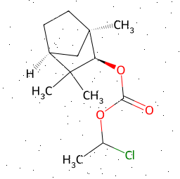 CC(Cl)OC(=O)O[C@H]1C(C)(C)[C@H]2CC[C@]1(C)C2